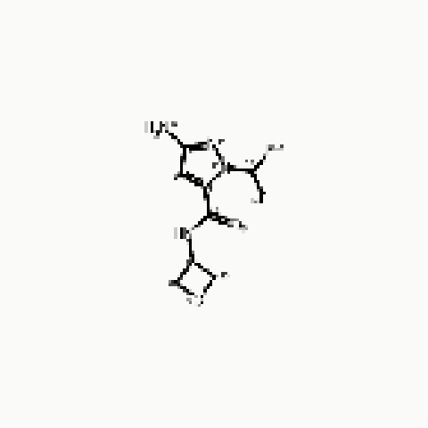 Nc1cc(C(=O)NC2COC2)n(C(F)F)n1